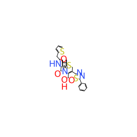 O=C(Cc1cccs1)NC1C(=O)N2C(C(=O)O)=C(c3nnc(-c4ccccc4)s3)CS[C@@H]12